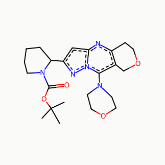 CC(C)(C)OC(=O)N1CCCCC1c1cc2nc3c(c(N4CCOCC4)n2n1)COCC3